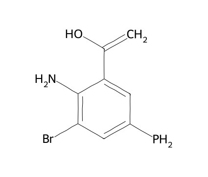 C=C(O)c1cc(P)cc(Br)c1N